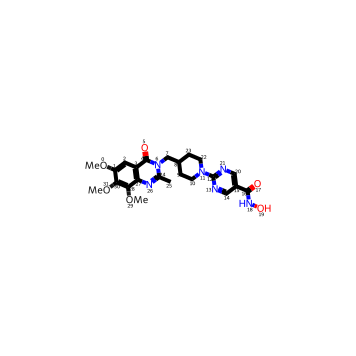 COc1cc2c(=O)n(CC3CCN(c4ncc(C(=O)NO)cn4)CC3)c(C)nc2c(OC)c1OC